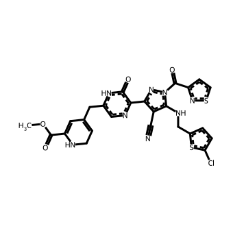 COC(=O)C1=CC(Cc2cnc(-c3nn(C(=O)c4ccsn4)c(NCc4ccc(Cl)s4)c3C#N)c(=O)[nH]2)=CCN1